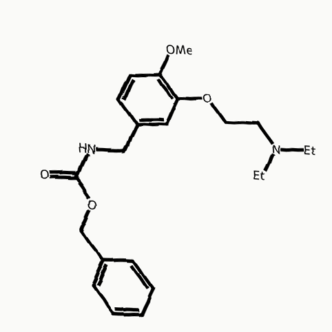 CCN(CC)CCOc1cc(CNC(=O)OCc2ccccc2)ccc1OC